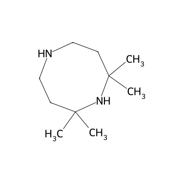 CC1(C)CCNCCC(C)(C)N1